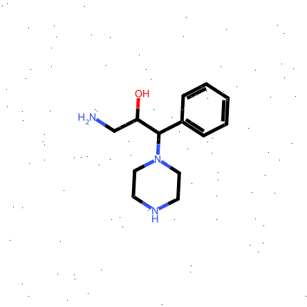 NCC(O)C(c1ccccc1)N1CCNCC1